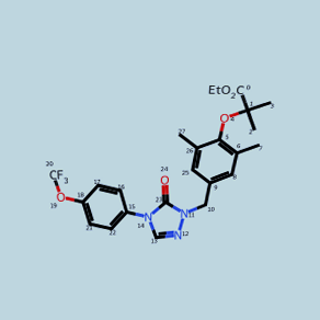 CCOC(=O)C(C)(C)Oc1c(C)cc(Cn2ncn(-c3ccc(OC(F)(F)F)cc3)c2=O)cc1C